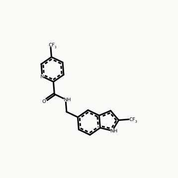 O=C(NCc1ccc2[nH]c(C(F)(F)F)cc2c1)c1ccc(C(F)(F)F)cn1